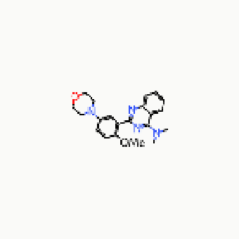 COc1ccc(N2CCOCC2)cc1-c1nc(N(C)C)c2ccccc2n1